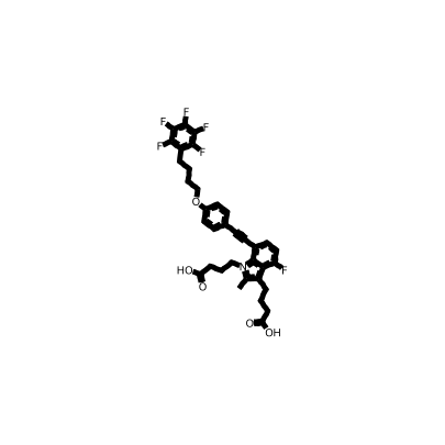 Cc1c(CCCC(=O)O)c2c(F)ccc(C#Cc3ccc(OCCCCc4c(F)c(F)c(F)c(F)c4F)cc3)c2n1CCCC(=O)O